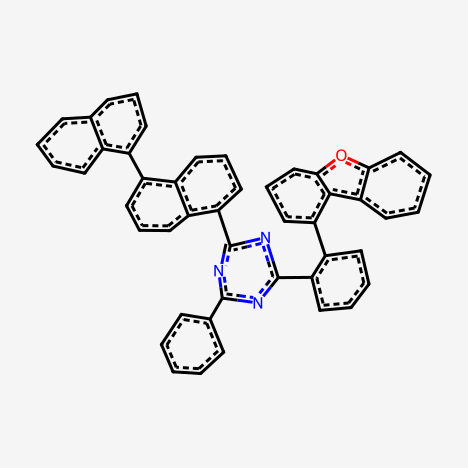 c1ccc(-c2nc(-c3ccccc3-c3cccc4oc5ccccc5c34)nc(-c3cccc4c(-c5cccc6ccccc56)cccc34)n2)cc1